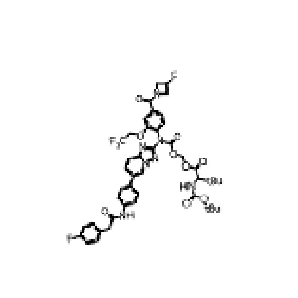 CC(C)(C)OC(=O)NC(C(=O)OCOC(=O)N(c1nc2ccc(-c3ccc(NC(=O)Cc4ccc(F)cc4)cc3)cn2n1)c1ccc(C(=O)N2CC(F)C2)cc1OCC(F)(F)F)C(C)(C)C